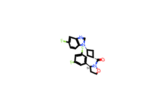 O=C([C@H]1C[C@@H](n2cnc3cc(F)ccc32)C1)N1OCC[C@H]1c1cc(F)cc(F)c1